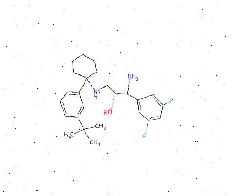 CC(C)(C)c1cccc(C2(NC[C@@H](O)C(N)c3cc(F)cc(F)c3)CCCCC2)c1